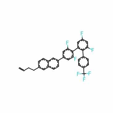 C=CCCc1ccc2cc(-c3cc(F)c(-c4cc(F)cc(F)c4-c4ccc(C(F)(F)F)cc4)c(F)c3)ccc2c1